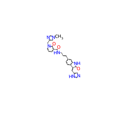 Cn1cnc(Cn2cccc(C(=O)NC/C=C/c3ccc4c(c3)NC(=O)/C4=C\c3cnc[nH]3)c2=O)c1